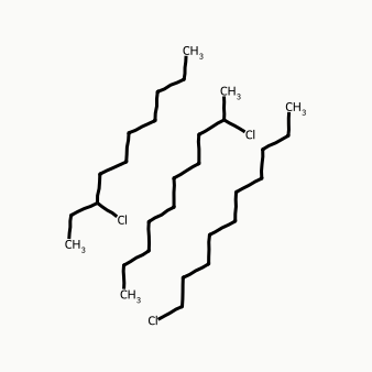 CCCCCCCC(Cl)CC.CCCCCCCCC(C)Cl.CCCCCCCCCCCl